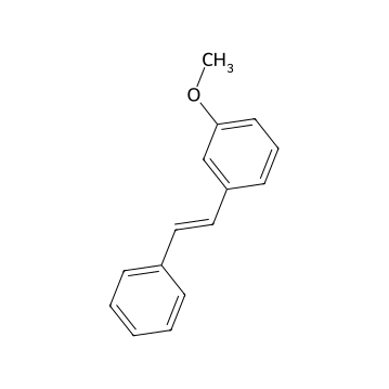 COc1cccc(C=Cc2ccccc2)c1